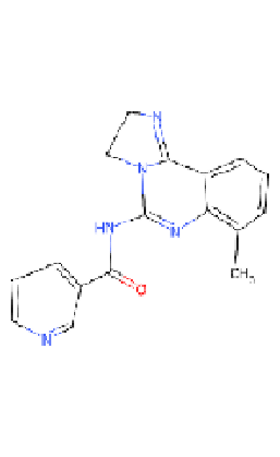 Cc1cccc2c1N=C(NC(=O)c1cccnc1)N1CCN=C21